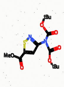 COC(=O)c1cc(N(C(=O)OC(C)(C)C)C(=O)OC(C)(C)C)ns1